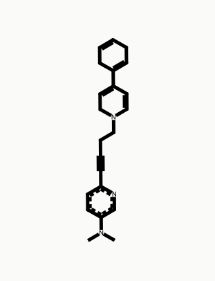 CN(C)c1ccc(C#CCCN2C=CC(C3=CCC=CC3)=CC2)nc1